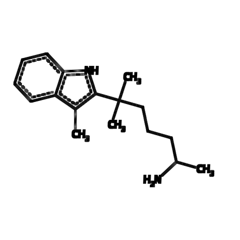 Cc1c(C(C)(C)CCCC(C)N)[nH]c2ccccc12